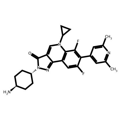 Cc1cc(-c2c(F)cc3c4nn([C@H]5CC[C@H](N)CC5)c(=O)c-4cn(C4CC4)c3c2F)cc(C)n1